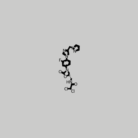 O=C(NC[C@H]1CN(c2ccc(-n3cnc(Cn4cccn4)c3)c(F)c2)C(=O)O1)C(Cl)Cl